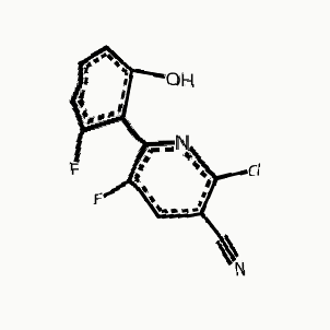 N#Cc1cc(F)c(-c2c(O)cccc2F)nc1Cl